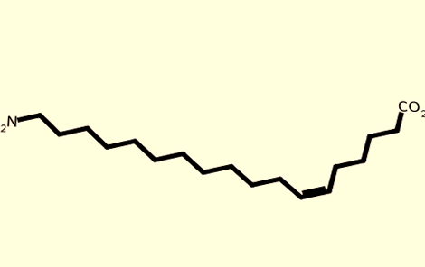 O=C(O)CCCC/C=C\CCCCCCCCCCC[N+](=O)[O-]